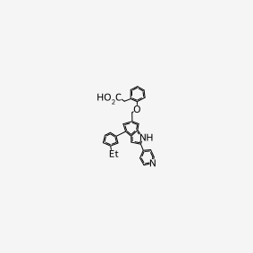 CCc1cccc(-c2cc(COc3ccccc3CC(=O)O)cc3[nH]c(-c4ccncc4)cc23)c1